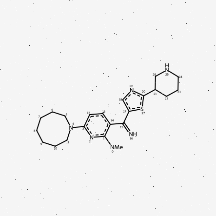 CNc1nc(N2CCCCCCC2)ccc1C(=N)c1cnc(C2CCCNC2)s1